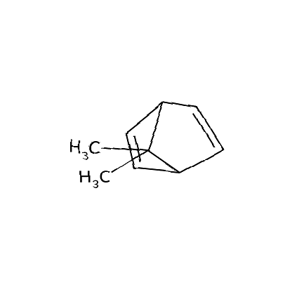 CC1(C)C2C=CC1C=C2